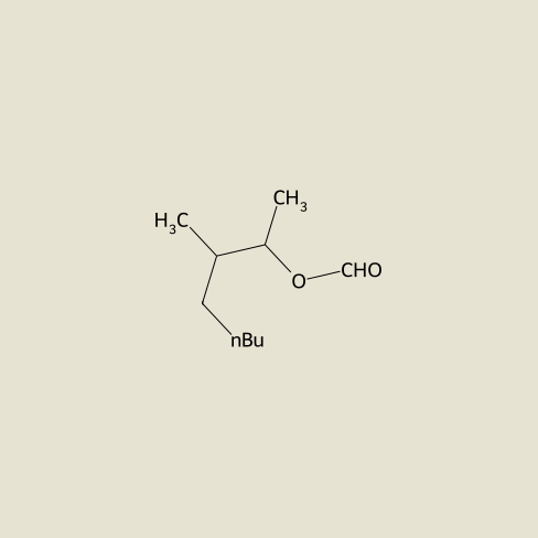 CCCCCC(C)C(C)OC=O